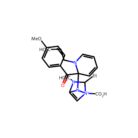 CCC1N(C(=O)O)C2=C[N+]1(C(=O)O)N2C1(C(=O)c2ccc(OC)cc2)C=CC=CN1CCC(=O)O